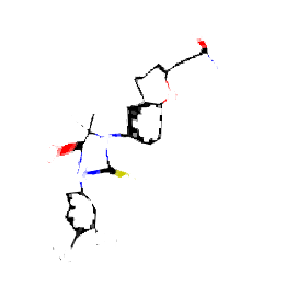 CC1(C)C(=O)N(c2ccc(C#N)c(C(F)(F)F)c2)C(=S)N1c1ccc2c(c1)CCC(C(N)=O)O2